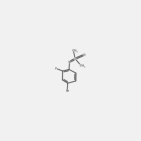 CS(C)(=O)=Nc1ccc(Br)cc1F